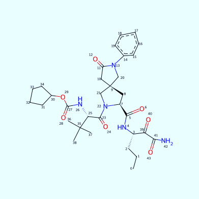 CCC[C@H](NC(=O)[C@@H]1C[C@]2(CC(=O)N(c3ccccc3)C2)CN1C(=O)[C@@H](NC(=O)OC1CCCC1)C(C)(C)C)C(=O)C(N)=O